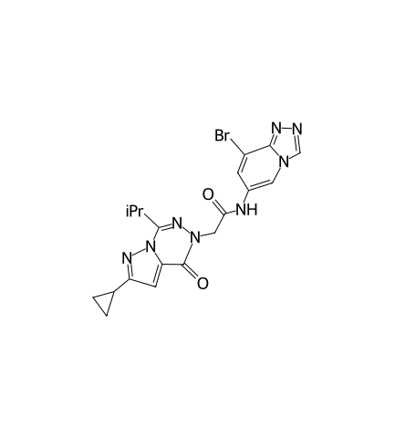 CC(C)c1nn(CC(=O)Nc2cc(Br)c3nncn3c2)c(=O)c2cc(C3CC3)nn12